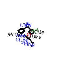 COc1ccc(-c2[nH]nnc2-c2cc(OC)c(OC)c(OC)c2)cc1NC(=O)C(N)Cc1cnc[nH]1.Cl